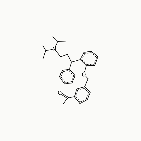 CC(=O)c1cccc(COc2ccccc2C(CCN(C(C)C)C(C)C)c2ccccc2)c1